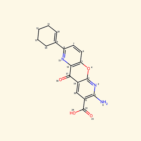 Nc1nc2oc3ccc(C4=CCCCC4)nc3c(=O)c2cc1C(=O)O